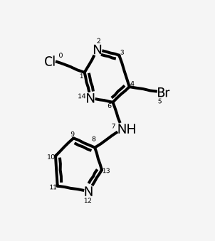 Clc1ncc(Br)c(Nc2cccnc2)n1